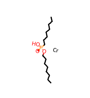 CCCCCCCCOP(=O)(O)CCCCCCCC.[Cr]